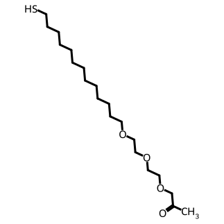 CC(=O)COCCOCCOCCCCCCCCCCCCCS